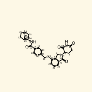 O=C1CCC(N2Cc3c(SCc4ccc(C(=O)NC5CN6CCC5CC6)cn4)cccc3C2=O)C(=O)N1